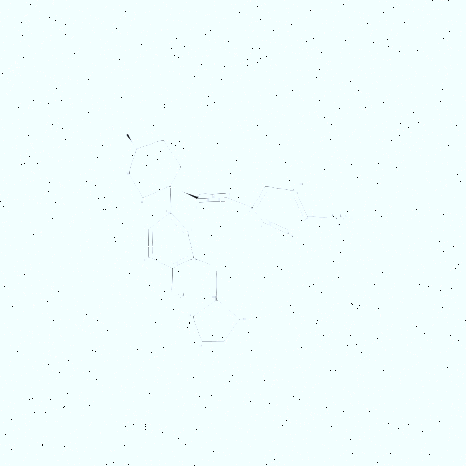 CNc1ncc(C#C[C@]2(c3ccc(OC)c(OC4CCCC4)c3)CC[C@H](O)CC2)cn1